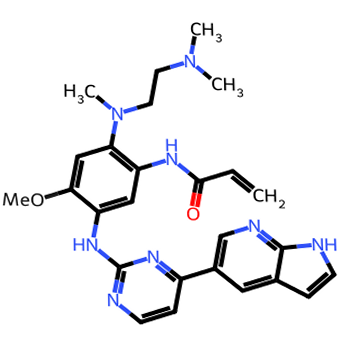 C=CC(=O)Nc1cc(Nc2nccc(-c3cnc4[nH]ccc4c3)n2)c(OC)cc1N(C)CCN(C)C